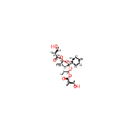 CCC(OC(=O)C(C)=CO)OC(CC)(OC(CC)OC(=O)C(C)=CO)c1ccccc1